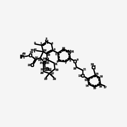 CC1=NCC(c2ccc(OCCOc3ccc(C)cc3Cl)nc2)=C(N2CCC(C)(C)CC2)C1(F)C(OC(C)(C)C)C(=O)OC(C)C